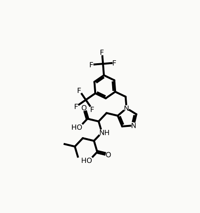 CC(C)CC(NC(Cc1cncn1Cc1cc(C(F)(F)F)cc(C(F)(F)F)c1)C(=O)O)C(=O)O